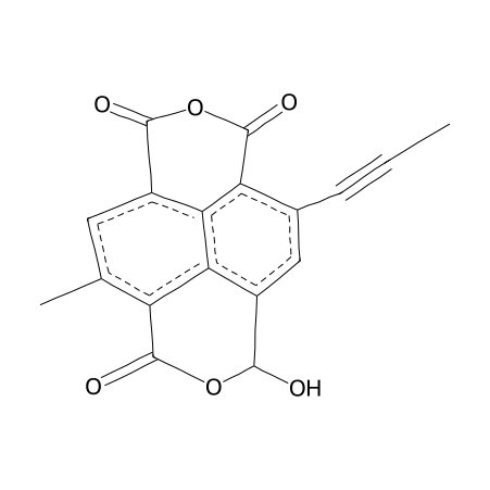 CC#Cc1cc2c3c(c(C)cc4c3c1C(=O)OC4=O)C(=O)OC2O